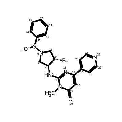 Cn1c(N[C@H]2CN([S+]([O-])c3ccccc3)C[C@@H]2F)nc(-c2ccncc2)cc1=O